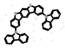 c1ccc2c(c1)c1ccccc1n2-c1ccc2sc3cc4sc5ccc(-n6c7ccccc7c7ccccc76)cc5c4cc3c2c1